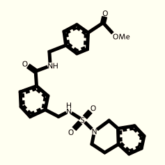 COC(=O)c1ccc(CNC(=O)c2cccc(CNS(=O)(=O)N3CCc4ccccc4C3)c2)cc1